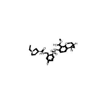 CCN1CC[C@H](C(=O)NCc2cc(F)ccc2S(=O)(=O)Nc2ccc3c(c2C(O)OC)OC[C@@H]2C[C@H]32)C1